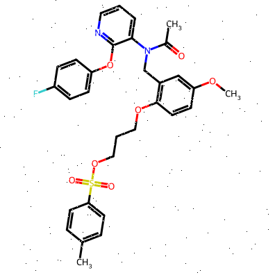 COc1ccc(OCCCOS(=O)(=O)c2ccc(C)cc2)c(CN(C(C)=O)c2cccnc2Oc2ccc(F)cc2)c1